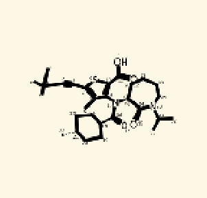 Cc1c(C#CC(C)(C)C)sc(C(=O)O)c1N(C(=O)[C@H]1CC[C@H](C)CC1)[C@H]1CCCCN(C(C)C)C1=O